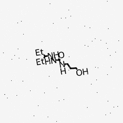 CCC(CC)NNC(=O)NCCCO